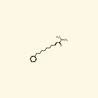 CN(C)C(=O)/C=C/CCCCCCCc1ccccc1